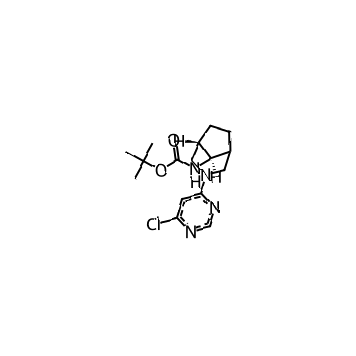 CC(C)(C)OC(=O)N[C@@H]1C2CC[C@H]1CN(c1cc(Cl)ncn1)C2